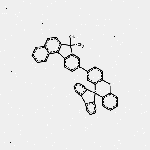 CC1(C)c2cc(-c3ccc4c(c3)C3(c5ccccc5O4)c4ccccc4-c4ccccc43)ccc2-c2c1ccc1ccccc21